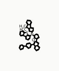 CC1(C)c2ccccc2-c2ccc(N(c3cccc4c3oc3c(-c5ccc(-c6ccccc6)cc5)c5ccccc5cc34)c3cccc4c3sc3ccccc34)cc21